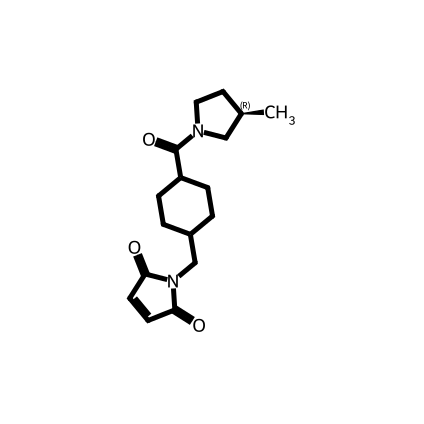 C[C@@H]1CCN(C(=O)C2CCC(CN3C(=O)C=CC3=O)CC2)C1